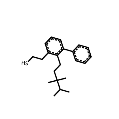 CC(C)C(C)(C)CCc1c(CCS)cccc1-c1ccccc1